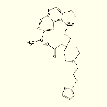 COc1ccc2ncc(CF)c([C@@H](F)CCC3(CC(=O)O)CCN(CCSc4cccs4)CC3)c2c1